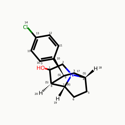 OC1CN2[C@H]3CC[C@@H]2[C@@H]1[C@@H](c1ccc(Cl)cc1)C3